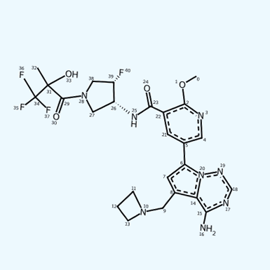 COc1ncc(-c2cc(CN3CCC3)c3c(N)ncnn23)cc1C(=O)N[C@@H]1CN(C(=O)C(C)(O)C(F)(F)F)C[C@@H]1F